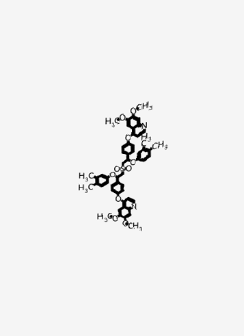 COc1cc2nccc(Oc3ccc(C(CS(=O)(=O)CC(Oc4ccc(C)c(C)c4)c4ccc(Oc5ccnc6cc(OC)c(OC)cc56)cc4)Oc4ccc(C)c(C)c4)cc3)c2cc1OC